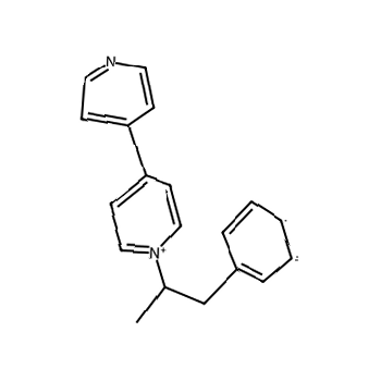 CC(CC1=C[C][CH]C=C1)[n+]1ccc(-c2ccncc2)cc1